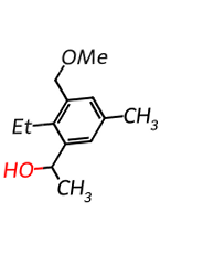 CCc1c(COC)cc(C)cc1C(C)O